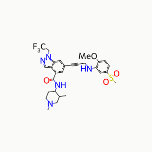 COc1ccc(S(C)(=O)=O)cc1NCC#Cc1cc(C(=O)NC2CCN(C)CC2C)c2cnn(CC(F)(F)F)c2c1